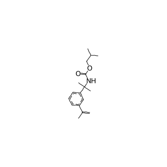 C=C(C)c1cccc(C(C)(C)NC(=O)OCC(C)C)c1